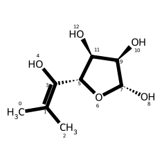 CC(C)=C(O)[C@H]1O[C@@H](O)[C@H](O)[C@@H]1O